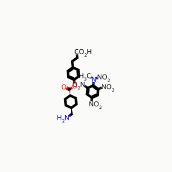 CN(c1c([N+](=O)[O-])cc([N+](=O)[O-])cc1[N+](=O)[O-])[N+](=O)[O-].NC[C@H]1CC[C@H](C(=O)Oc2ccc(CCC(=O)O)cc2)CC1